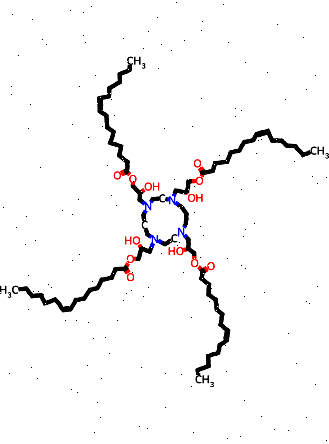 CCCCCC/C=C\CCCCCCCC(=O)OCC(O)CN1CCCN(CC(O)COC(=O)CCCCCCC/C=C\CCCCCC)CCN(CC(O)COC(=O)CCCCCCC/C=C\CCCCCC)CCCN(CC(O)COC(=O)CCCCCCC/C=C\CCCCCC)CC1